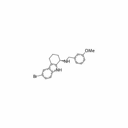 COc1cccc(CN[C@@H]2CCCc3c2[nH]c2ccc(Br)cc32)c1